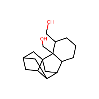 OCC1CCCC2C3CC4(CC5CC3C4C5)C12CO